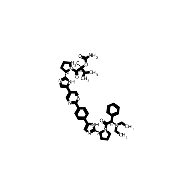 CCN(CC)[C@@H](C(=O)N1CCC[C@H]1c1ncc(-c2ccc(-c3ncc(-c4cnc([C@@H]5CCCN5C(=O)[C@@](C)(OC(N)=O)C(C)C)[nH]4)cn3)cc2)[nH]1)c1ccccc1